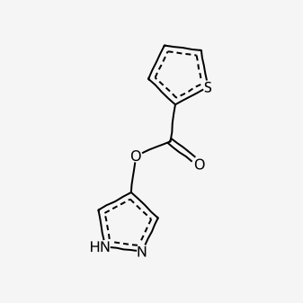 O=C(Oc1cn[nH]c1)c1cccs1